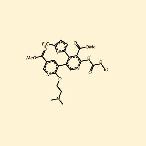 CCNC(=O)Nc1ncc(-c2cc(C(=O)OC)cnc2OCCN(C)C)c(-c2nc(C(F)(F)F)cs2)c1C(=O)OC